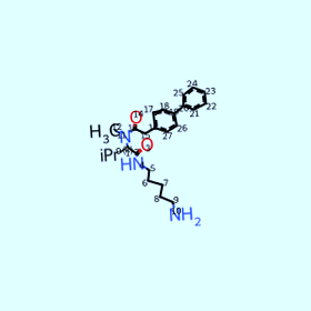 CC(C)[C@H](C(=O)NCCCCCN)N(C)C(=O)Cc1ccc(-c2ccccc2)cc1